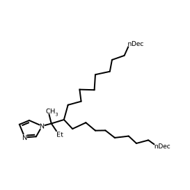 CCCCCCCCCCCCCCCCCCC(CCCCCCCCCCCCCCCCCC)C(C)(CC)n1ccnc1